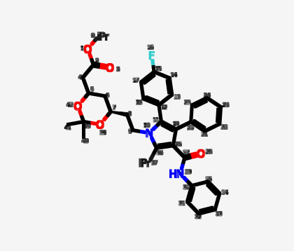 CC(C)OC(=O)CC1C[C@@H](CCn2c(-c3ccc(F)cc3)c(-c3ccccc3)c(C(=O)Nc3ccccc3)c2C(C)C)OC(C)(C)O1